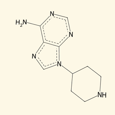 Nc1ncnc2c1ncn2C1CCNCC1